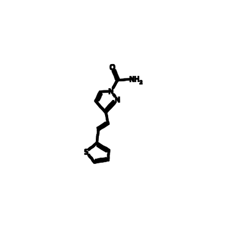 NC(=O)n1ccc(C=Cc2cccs2)n1